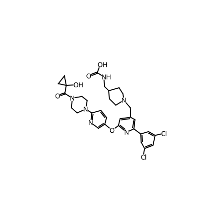 O=C(O)NCC1CCN(Cc2cc(Oc3ccc(N4CCN(C(=O)C5(O)CC5)CC4)nc3)nc(-c3cc(Cl)cc(Cl)c3)c2)CC1